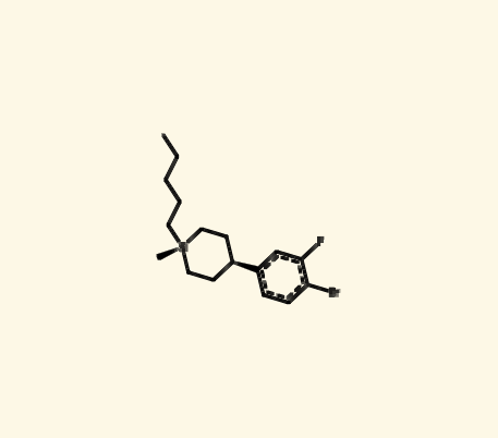 CCCCC[Si@]1(C)CC[C@@H](c2ccc(Br)c(F)c2)CC1